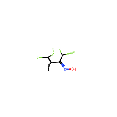 CC(C(=NO)C(F)F)C(F)F